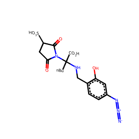 CCCCC(NCc1ccc(N=[N+]=[N-])cc1O)(C(=O)O)N1C(=O)CC(S(=O)(=O)O)C1=O